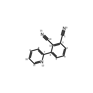 N#Cc1cccc(-c2c[c]ccn2)c1C#N